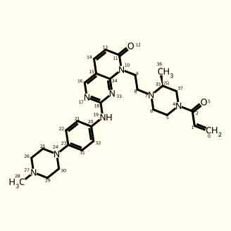 C=CC(=O)N1CCN(CCn2c(=O)ccc3cnc(Nc4ccc(N5CCN(C)CC5)cc4)nc32)[C@@H](C)C1